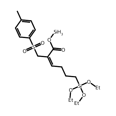 CCO[Si](CCCC=C(CS(=O)(=O)c1ccc(C)cc1)C(=O)O[SiH3])(OCC)OCC